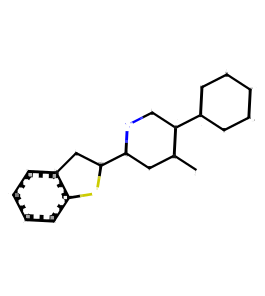 CC1CC(C2Cc3ccccc3S2)NCC1C1CCCCC1